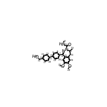 CNC(=O)N1N=C(c2ccc(-c3ccc(CO)cc3)cc2)c2cc(OC)c(OC)cc2CC1C